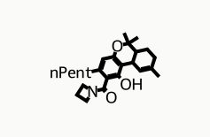 CCCCCc1cc2c(c(O)c1C(=O)N1CCC1)C1C=C(C)CCC1C(C)(C)O2